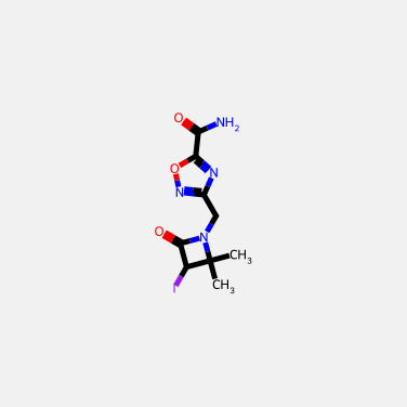 CC1(C)C(I)C(=O)N1Cc1noc(C(N)=O)n1